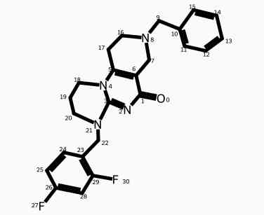 O=c1nc2n(c3c1CN(Cc1ccccc1)CC3)CCCN2Cc1ccc(F)cc1F